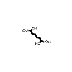 CCCCCCCCC(O)CCCCC(O)CCCCCCCC